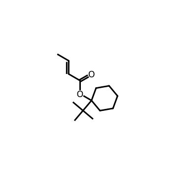 CC=CC(=O)OC1(C(C)(C)C)CCCCC1